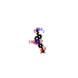 CC(C)(C)OC(=O)c1ccc(NC(=O)C2c3cccc(C=CC(N)=O)c3CCN2C(=O)O)cc1